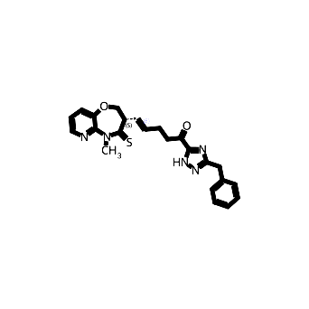 CN1C(=S)[C@@H](/C=C/CCC(=O)c2nc(Cc3ccccc3)n[nH]2)COc2cccnc21